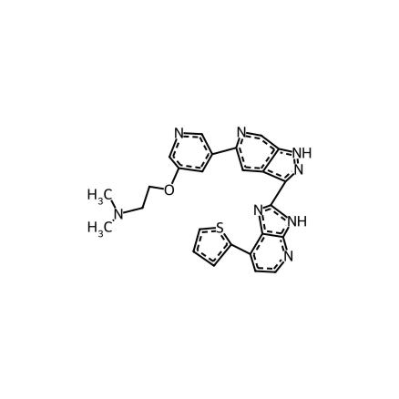 CN(C)CCOc1cncc(-c2cc3c(-c4nc5c(-c6cccs6)ccnc5[nH]4)n[nH]c3cn2)c1